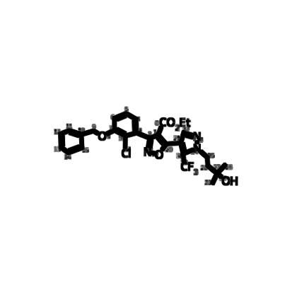 CCOC(=O)c1c(-c2cccc(OCc3ccccc3)c2Cl)noc1-c1cnn(CCC(C)(C)O)c1C(F)(F)F